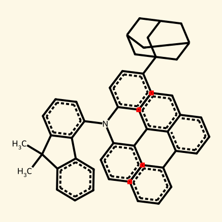 CC1(C)c2ccccc2-c2c(N(c3ccc(C45CC6CC(CC(C6)C4)C5)cc3)c3ccccc3-c3cccc4cccc(-c5ccccc5)c34)cccc21